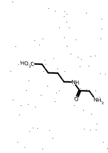 NCC(=O)NCCCCC(=O)O